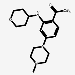 CC(C)COC(=O)c1ccc(N2CCN(C)CC2)cc1NC1CCOCC1